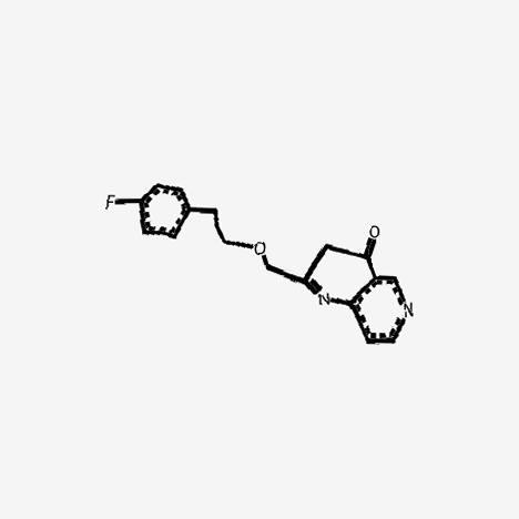 O=C1CC(COCCc2ccc(F)cc2)=Nc2ccncc21